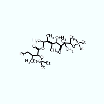 CCC(O[Si](CC)(CC)CC)C(C)(C)C(=O)[C@H](O)/C(C)=C(\C)[C@H](C)OC(=O)C(O[Si](CC)(CC)CC)[C@@H](C)CC(C)C